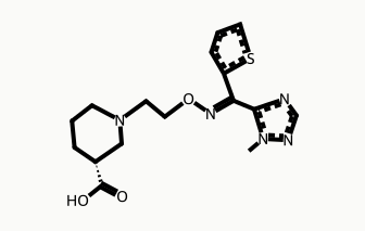 Cn1ncnc1C(=NOCCN1CCC[C@@H](C(=O)O)C1)c1cccs1